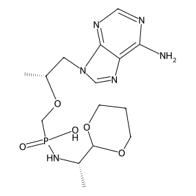 C[C@H](Cn1cnc2c(N)ncnc21)OCP(=O)(O)N[C@@H](C)C1OCCCO1